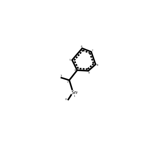 [CH3][Sn][CH](C)c1ccccc1